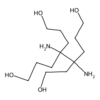 NC(CCO)(CCCO)C(N)(CCCO)CCCO